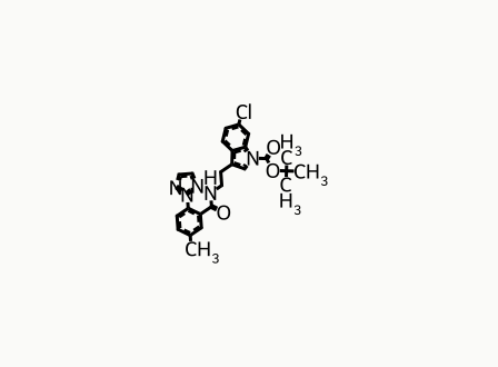 Cc1ccc(-n2nccn2)c(C(=O)NCCc2cn(C(=O)OC(C)(C)C)c3cc(Cl)ccc23)c1